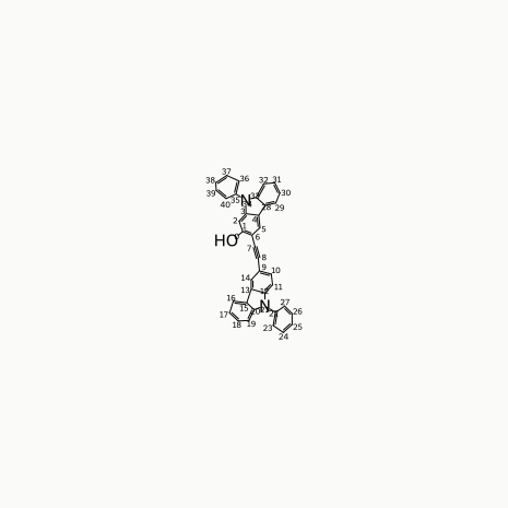 Oc1cc2c(cc1C#Cc1ccc3c(c1)c1ccccc1n3-c1ccccc1)c1ccccc1n2-c1ccccc1